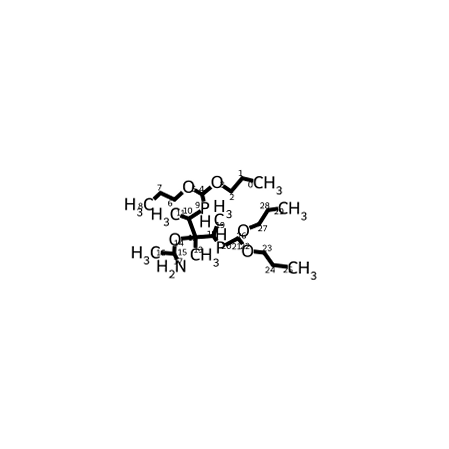 CCCOC(OCCC)PC(C)C(C)(OC(C)N)C(C)PC(OCCC)OCCC